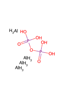 O=P(O)(O)OP(=O)(O)O.[AlH3].[AlH3].[AlH3].[AlH3]